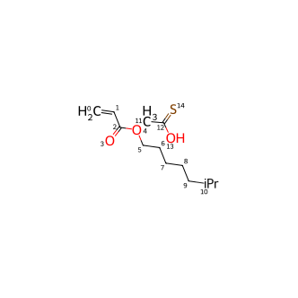 C=CC(=O)OCCCCCC(C)C.CC(O)=S